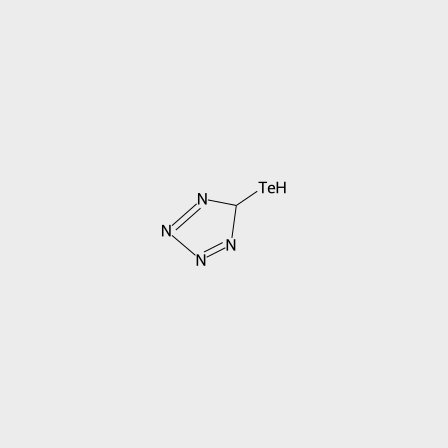 [TeH]C1N=NN=N1